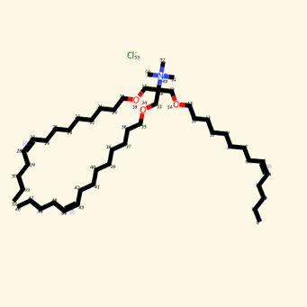 CCCC/C=C\CCCCCCCCOCC(COCCCCCCCC/C=C\CCCC)(COCCCCCCCC/C=C\CCCC)[N+](C)(C)C.[Cl-]